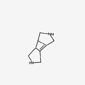 C1NCC2C1=C1CNCC12